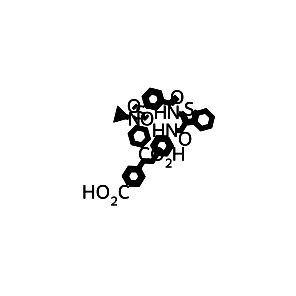 O=C(O)c1ccc(CCc2ccc(NC(=O)c3c(NC(=O)c4cccc(S(=O)(=O)N(C5CC5)[C@H]5CC[C@@H](C(=O)O)CC5)c4)sc4c3CCCC4)cc2)cc1